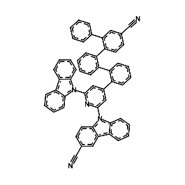 N#Cc1ccc(-c2ccccc2-c2ccccc2-c2cc(-n3c4ccccc4c4ccccc43)nc(-n3c4ccccc4c4cc(C#N)ccc43)c2)c(-c2ccccc2)c1